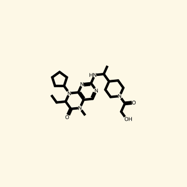 CCC1C(=O)N(C)c2cnc(NC(C)C3CCN(C(=O)CO)CC3)nc2N1C1CCCC1